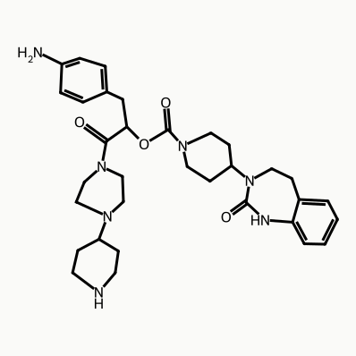 Nc1ccc(CC(OC(=O)N2CCC(N3CCc4ccccc4NC3=O)CC2)C(=O)N2CCN(C3CCNCC3)CC2)cc1